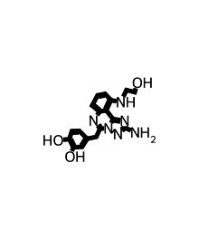 Nc1nc2c3c(NCCO)cccc3nc(Cc3ccc(O)c(O)c3)n2n1